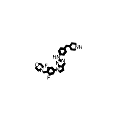 Fc1cc(-n2ccc3cnc(Nc4ccc(CC5CCNCC5)cc4)nc32)cc(F)c1CN1CCOCC1